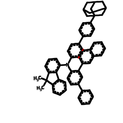 CC1(C)c2ccccc2-c2c(N(c3ccc(-c4ccc(C56CC7CC(CC(C7)C5)C6)cc4)cc3)c3ccc(-c4ccccc4)cc3-c3ccc4ccccc4c3)cccc21